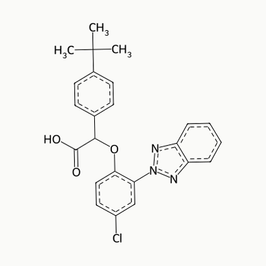 CC(C)(C)c1ccc(C(Oc2ccc(Cl)cc2-n2nc3ccccc3n2)C(=O)O)cc1